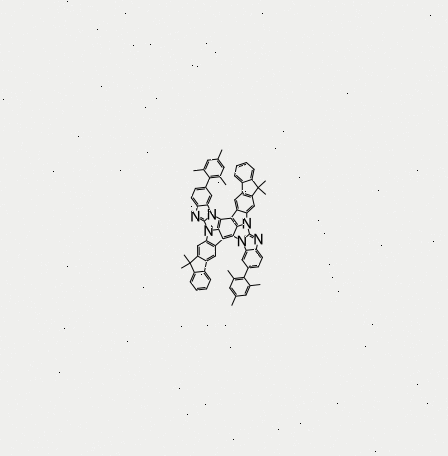 Cc1cc(C)c(-c2ccc3nc4n(c3c2)c2c3c5cc6c(cc5n5c3c(c3c7cc8c(cc7n4c32)C(C)(C)c2ccccc2-8)n2c3cc(-c4c(C)cc(C)cc4C)ccc3nc25)C(C)(C)c2ccccc2-6)c(C)c1